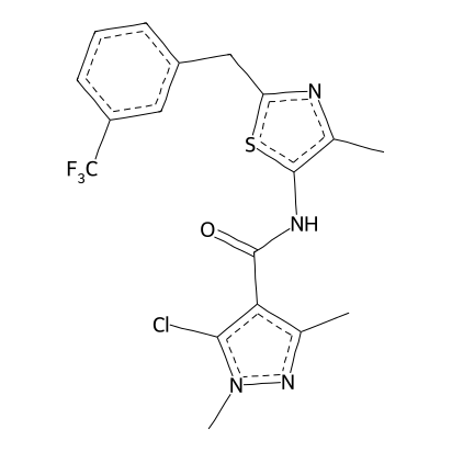 Cc1nc(Cc2cccc(C(F)(F)F)c2)sc1NC(=O)c1c(C)nn(C)c1Cl